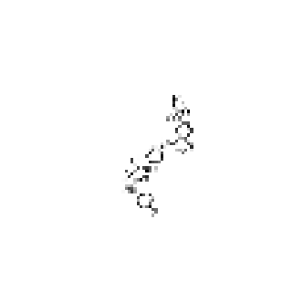 NS(=O)(=O)c1ccc2nccc(Oc3ccc(NC(=O)C4(C(=O)Nc5ccc(F)cc5)CC4)cc3)c2c1